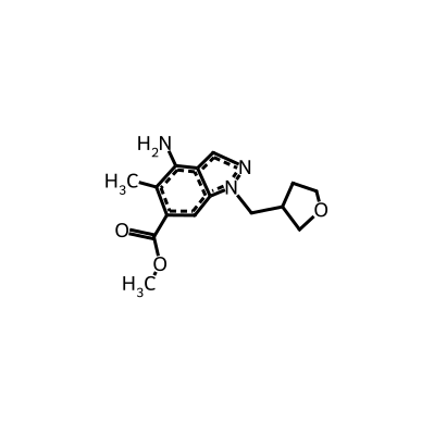 COC(=O)c1cc2c(cnn2CC2CCOC2)c(N)c1C